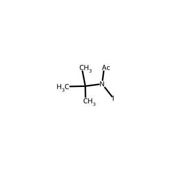 CC(=O)N(I)C(C)(C)C